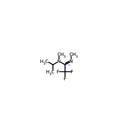 C/N=C(\N(C)C(C)C)C(F)(F)F